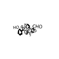 CC(C)[C@H]1COC(C=O)N1c1ccnc(N(C(=O)O)C(c2ccccc2)C(F)(F)F)n1